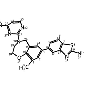 Cc1cc(-c2cnc3sc(N)nc3c2)cc2c1OCCN(c1nccc(N)n1)C2